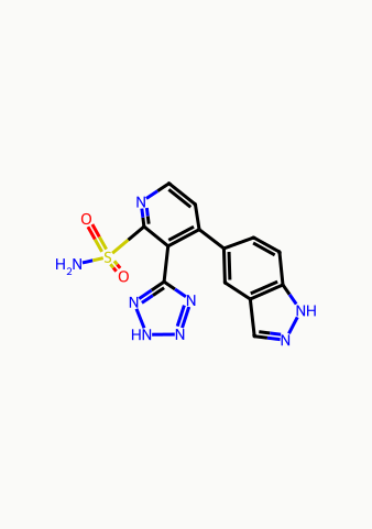 NS(=O)(=O)c1nccc(-c2ccc3[nH]ncc3c2)c1-c1nn[nH]n1